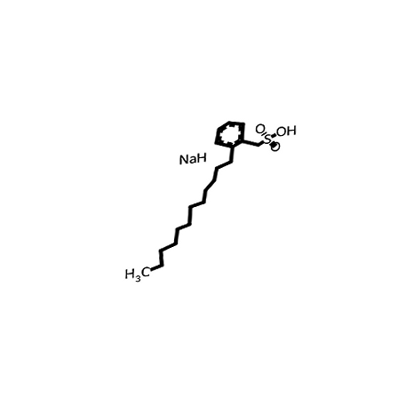 CCCCCCCCCCCCc1ccccc1CS(=O)(=O)O.[NaH]